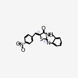 O=C1N/C(=N\c2ccccc2Cl)S/C1=C\c1ccc([N+](=O)[O-])cc1